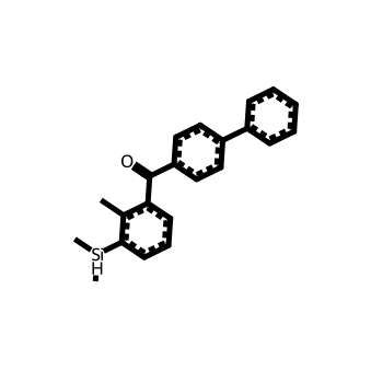 Cc1c(C(=O)c2ccc(-c3ccccc3)cc2)cccc1[SiH](C)C